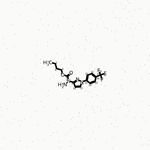 CCCCOC(=O)N(N)c1ccn(-c2ccc(C(F)(F)F)cc2)n1